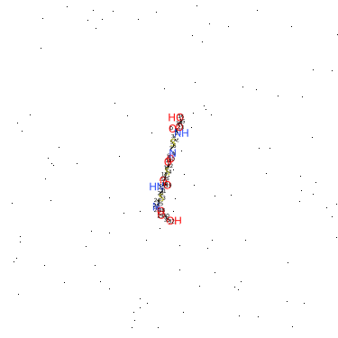 O=C(NCCSCC/N=C/OOCCSCCOC(=O)NCCSCC/N=C\OOCCO)OCCO